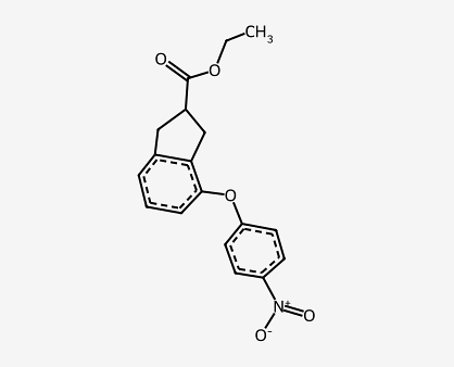 CCOC(=O)C1Cc2cccc(Oc3ccc([N+](=O)[O-])cc3)c2C1